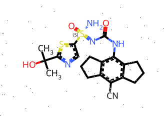 CC(C)(O)c1ncc([S@@](N)(=O)=NC(=O)Nc2c3c(c(C#N)c4c2CCC4)CCC3)s1